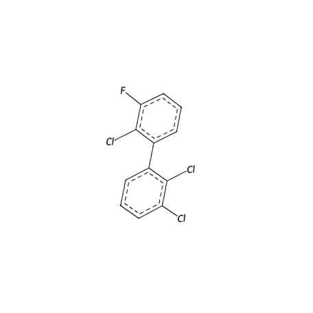 Fc1cccc(-c2cccc(Cl)c2Cl)c1Cl